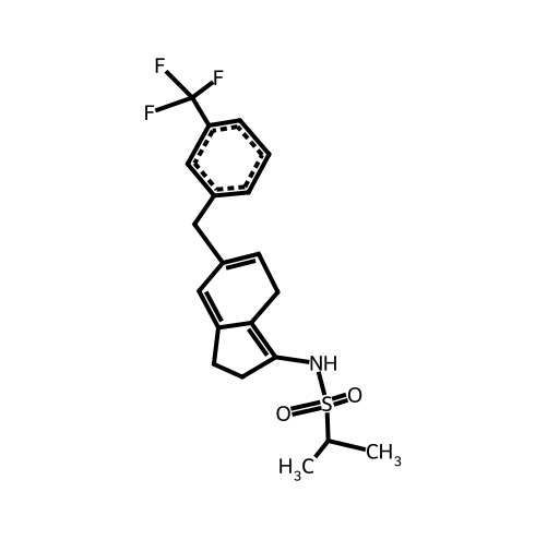 CC(C)S(=O)(=O)NC1=C2CC=C(Cc3cccc(C(F)(F)F)c3)C=C2CC1